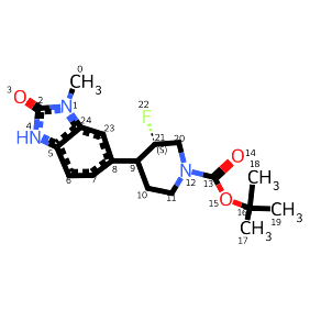 Cn1c(=O)[nH]c2ccc(C3CCN(C(=O)OC(C)(C)C)C[C@H]3F)cc21